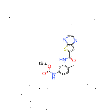 Cc1ccc(NC(=O)OC(C)(C)C)cc1NC(=O)c1cc2nccnc2s1